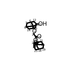 O=C(COC12CC3CC(CC(O)(C3)C1)C2)OC12CC3CC(C1)C(=O)C(C3)C2